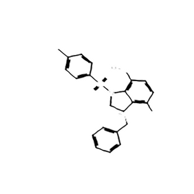 COc1ccc(C=O)c2c1N(S(=O)(=O)c1ccc(C)cc1)C[C@@H]2Cc1ccccc1